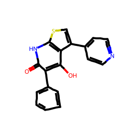 O=c1[nH]c2scc(-c3ccncc3)c2c(O)c1-c1ccccc1